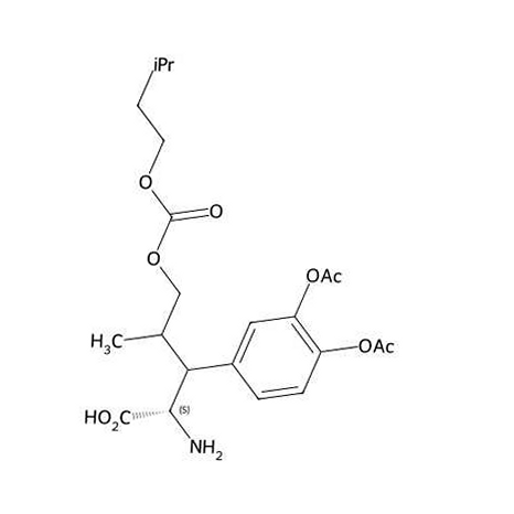 CC(=O)Oc1ccc(C(C(C)COC(=O)OCCC(C)C)[C@H](N)C(=O)O)cc1OC(C)=O